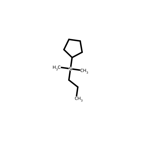 CCC[Si](C)(C)C1CCCC1